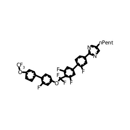 CCCCCc1cnc(-c2ccc(-c3cc(F)c(C(F)(F)Oc4ccc(-c5ccc(OC(F)(F)F)cc5)c(F)c4)c(F)c3)c(F)c2)nc1